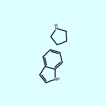 C1CCNC1.c1ccc2[nH]ccc2c1